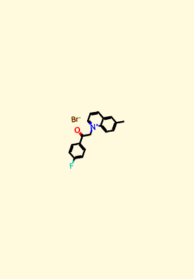 Cc1ccc2c(ccc[n+]2CC(=O)c2ccc(F)cc2)c1.[Br-]